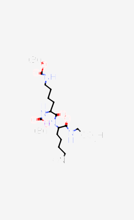 CC(C)(C)OC(=O)NCCCCC(NC(=O)OC(C)(C)C)C(=O)NC(CCCCN=O)C(=O)NCC(=O)O